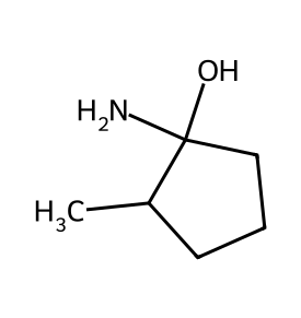 CC1CCCC1(N)O